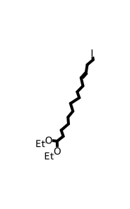 CCOC(CCCCCCCCC/C=C/CCI)OCC